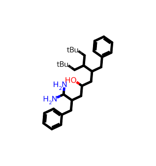 CC(C)(C)CC(CC(C)(C)C)C(Cc1ccccc1)CC(O)CC(Cc1ccccc1)C(N)N